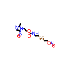 Cc1ncc(N=O)n1CCOC(=O)NCCSSCCON=O